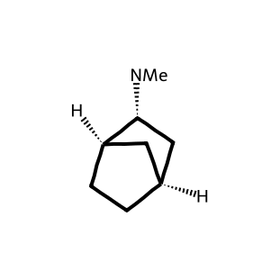 CN[C@@H]1C[C@H]2CC[C@@H]1C2